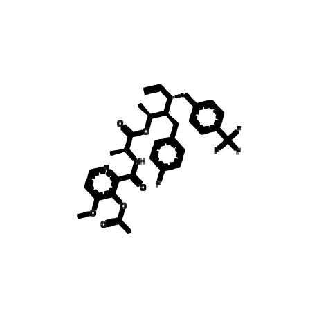 C=C[C@H](Cc1ccc(C(F)(F)F)cc1)[C@@H](Cc1ccc(F)cc1)[C@H](C)OC(=O)[C@H](C)NC(=O)c1nccc(OC)c1OC(C)=O